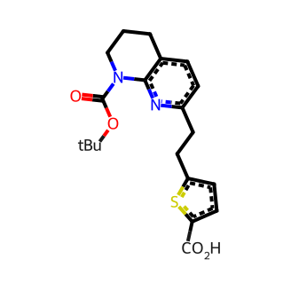 CC(C)(C)OC(=O)N1CCCc2ccc(CCc3ccc(C(=O)O)s3)nc21